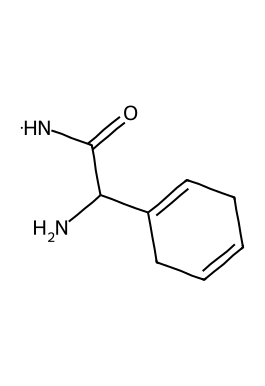 [NH]C(=O)C(N)C1=CCC=CC1